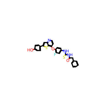 O=C(Cc1ccccc1)NC(=S)Nc1ccc(Oc2ccnc3cc(-c4ccc(O)cc4)sc23)c(F)c1